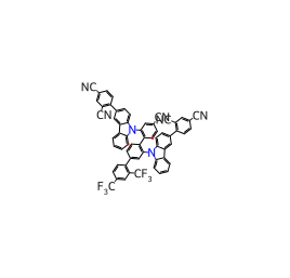 N#Cc1ccc(-c2ccc3c(c2)c2ccccc2n3-c2cc(C#N)ccc2-c2ccc(-c3ccc(C(F)(F)F)cc3C(F)(F)F)cc2-n2c3ccccc3c3cc(-c4ccc(C#N)cc4C#N)ccc32)c(C#N)c1